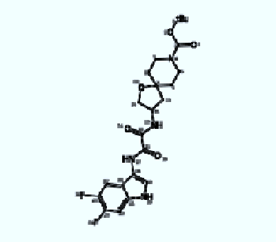 CC(C)(C)OC(=O)N1CCC2(CC1)CC(NC(=O)C(=O)Nc1c[nH]c3cc(F)c(F)cc13)CO2